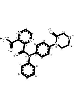 NC(=O)c1nccnc1C(=O)N(c1ccccc1)c1ccc(N2CCOCC2=O)cc1